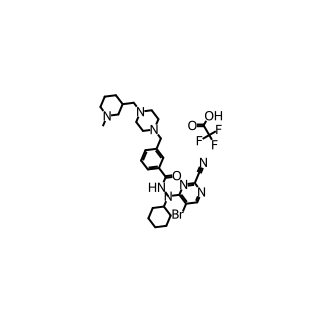 CN1CCCC(CN2CCN(Cc3cccc(C(=O)NN(c4nc(C#N)ncc4Br)C4CCCCC4)c3)CC2)C1.O=C(O)C(F)(F)F